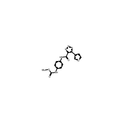 CC(C)(C)OC(=O)Nc1ccc(NC(=O)c2nnsc2-c2ccoc2)cc1